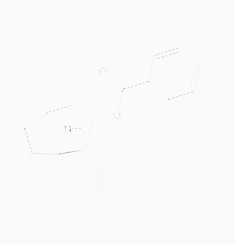 C=C[C@@H]1C2CCC(C[C@@H]1OC(=O)c1ccccc1)N2C